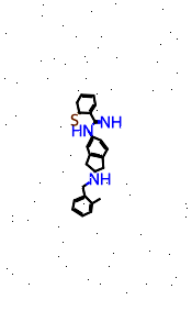 Cc1ccccc1CNC1Cc2ccc(NC(=N)C3=CC=CCC3=S)cc2C1